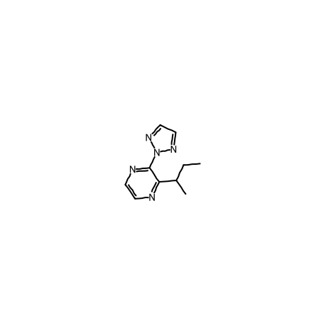 CCC(C)c1nccnc1-n1nccn1